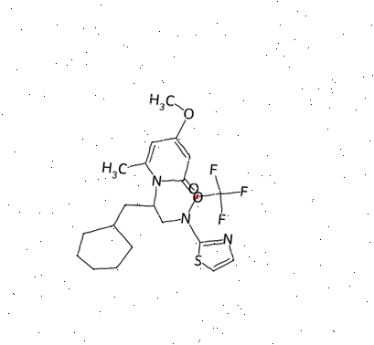 COc1cc(C)n(C(CC2CCCCC2)CN(C(=O)C(F)(F)F)c2nccs2)c(=O)c1